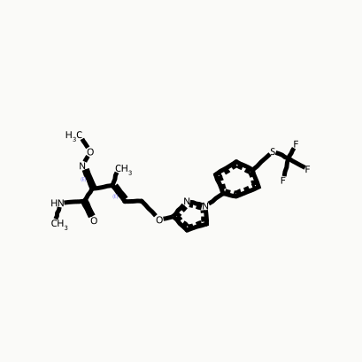 CNC(=O)C(=N/OC)/C(C)=C/COc1ccn(-c2ccc(SC(F)(F)F)cc2)n1